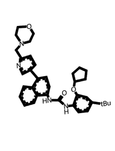 CC(C)(C)c1ccc(NC(=O)Nc2ccc(-c3ccc(CN4CCOCC4)nc3)c3ccccc23)c(OC2CCCC2)c1